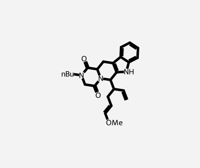 C=CC(C/C=C/OC)C1c2[nH]c3ccccc3c2CC2C(=O)N(CCCC)CC(=O)N21